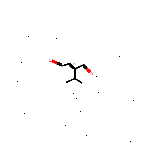 CC(C)/C(C=O)=C\C=O